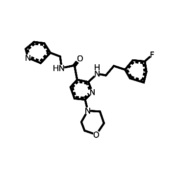 O=C(NCc1cccnc1)c1ccc(N2CCOCC2)nc1NCCc1cccc(F)c1